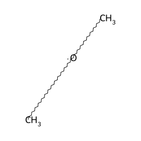 CCCCCCCCCCCCCCCCCCCCCCCCCCC[CH]OCCCCCCCCCCCCCCCCCC